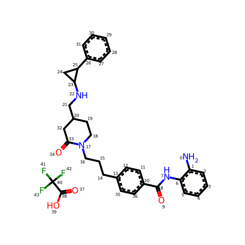 Nc1ccccc1NC(=O)c1ccc(CCCN2CCC(CNC3CC3c3ccccc3)CC2=O)cc1.O=C(O)C(F)(F)F